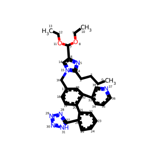 CCCCc1nc(C(OCC)OCC)cn1Cc1ccc(-c2ccccc2-c2nnn[nH]2)c(-c2cccnc2)c1